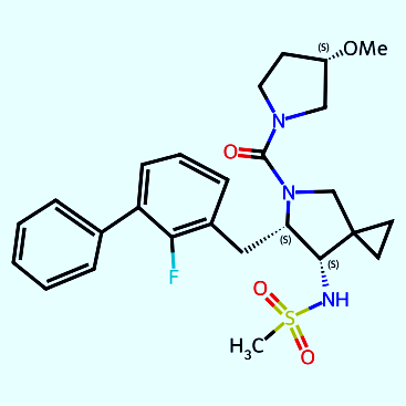 CO[C@H]1CCN(C(=O)N2CC3(CC3)[C@H](NS(C)(=O)=O)[C@@H]2Cc2cccc(-c3ccccc3)c2F)C1